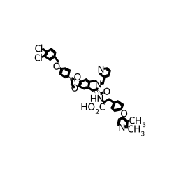 Cc1nccc(Oc2ccc(CC(NC(=O)[C@@H]3Cc4cc5c(cc4CN3Cc3cccnc3)O[C@@H](c3ccc(OCc4ccc(Cl)c(Cl)c4)cc3)CO5)C(=O)O)cc2)c1C